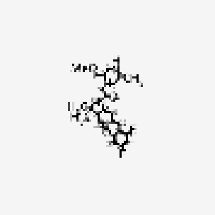 COC[C@H]1CN[C@H](C)CN1CC(=O)N1CC(C)(C)c2c[n+]([O-])c(Cc3ccc(F)cc3F)cc21